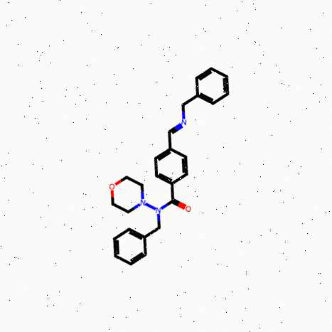 O=C(c1ccc(/C=N/Cc2ccccc2)cc1)N(Cc1ccccc1)N1CCOCC1